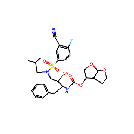 CC(C)CN(CC(O)C(Cc1ccccc1)NC(=O)OC1COC2OCCC12)S(=O)(=O)c1ccc(F)c(C#N)c1